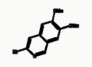 CCc1cc2cc(OC)c(OC)cc2cn1